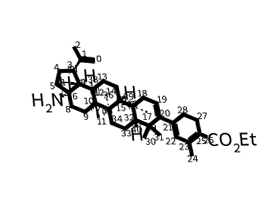 C=C(C)[C@@H]1CC[C@]2(N)CC[C@]3(C)[C@H](CC[C@@H]4[C@@]5(C)CC=C(C6=CC(C)=C(C(=O)OCC)CC6)C(C)(C)[C@@H]5CC[C@]43C)[C@@H]12